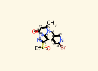 CC[S+]([O-])c1cc2n(Cc3ccc(Br)nc3)c(C)cc(=O)n2n1